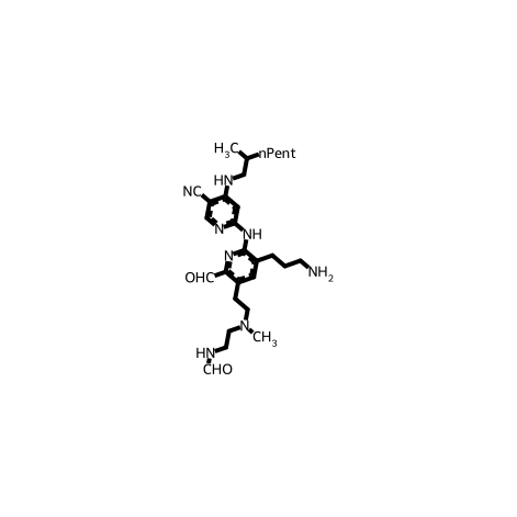 CCCCCC(C)CNc1cc(Nc2nc(C=O)c(CCN(C)CCNC=O)cc2CCCN)ncc1C#N